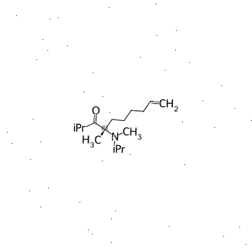 C=CCCCC[C@@](C)(C(=O)C(C)C)N(C)C(C)C